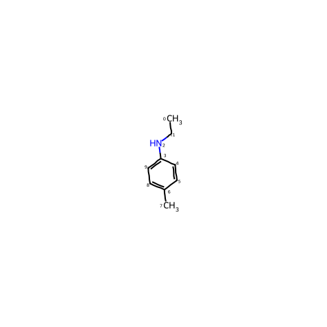 C[CH]Nc1ccc(C)cc1